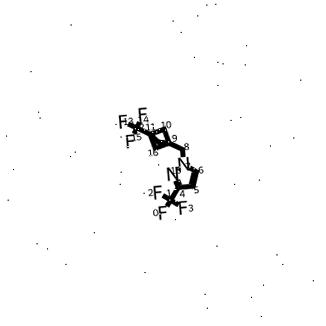 FC(F)(F)c1ccn(CC23CC(C(F)(F)F)(C2)C3)n1